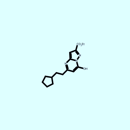 CCOC(=O)c1cc2nc(CCC3CCCC3)cc(O)n2n1